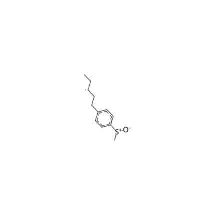 CC[CH]CCc1ccc([S+](C)[O-])cc1